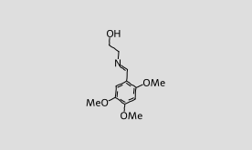 COc1cc(OC)c(OC)cc1/C=N/CCO